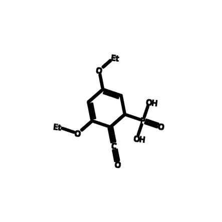 CCOC1=CC(P(=O)(O)O)C(=C=O)C(OCC)=C1